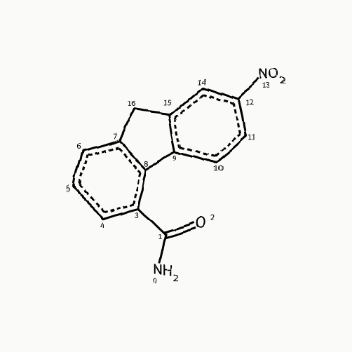 NC(=O)c1cccc2c1-c1ccc([N+](=O)[O-])cc1C2